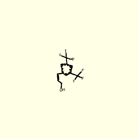 OC/C=C\c1cc(C(F)(F)F)cc(C(F)(F)F)c1